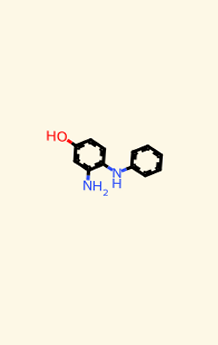 Nc1cc(O)ccc1Nc1ccccc1